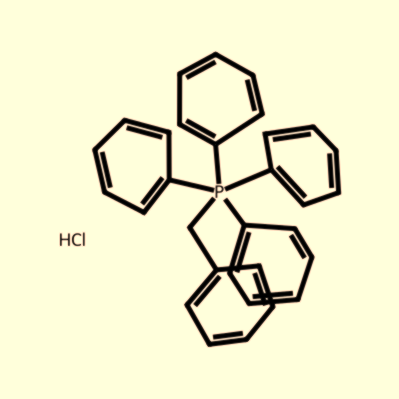 Cl.c1ccc(CP(c2ccccc2)(c2ccccc2)(c2ccccc2)c2ccccc2)cc1